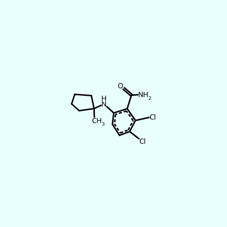 CC1(Nc2ccc(Cl)c(Cl)c2C(N)=O)CCCC1